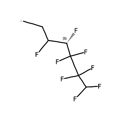 [CH2]CC(F)[C@H](F)C(F)(F)C(F)(F)C(F)F